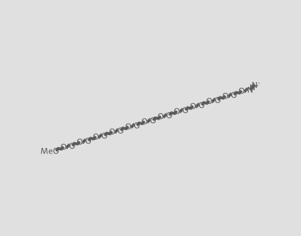 COCCOCCOCCOCCOCCOCCOCCOCCOCCOCCOCCOCCOCCOCCOCCOCCOCCOCCOCCOCCOCCOCCOCCOCCN=[N+]=[N-]